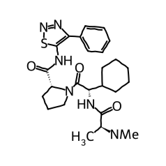 CN[C@@H](C)C(=O)N[C@H](C(=O)N1CCC[C@@H]1C(=O)Nc1snnc1-c1ccccc1)C1CCCCC1